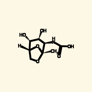 C[C@]12OC[C@@H](O1)[C@H](O)[C@H](O)[C@H]2NC(=O)O